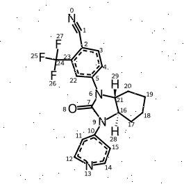 N#Cc1ccc(N2C(=O)N(c3ccncc3)[C@@H]3CCCC[C@H]32)cc1C(F)(F)F